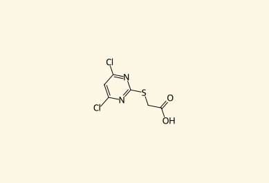 O=C(O)CSc1nc(Cl)cc(Cl)n1